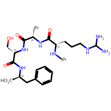 CC(C)N[C@@H](CCCNC(N)N)C(=O)N[C@H](C(=O)N[C@@H](CO)C(=O)N[C@@H](Cc1ccccc1)C(=O)O)C(C)C